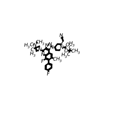 Cc1cc2c(nc(N3CC(C)(N(C)C)C3)c3nnn([C@H]4CCN(C(=O)OC(C)(C)C)[C@H](CC#N)C4)c32)c(F)c1-c1ccc(F)cc1